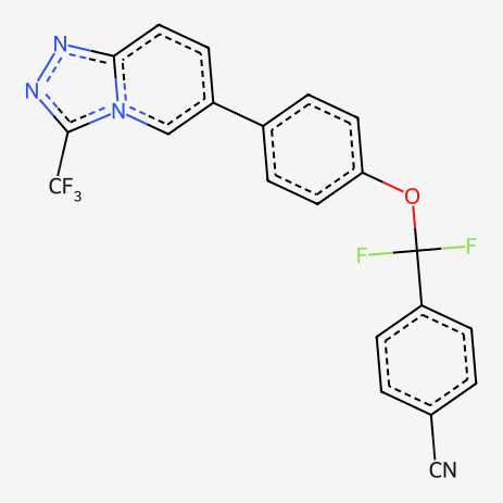 N#Cc1ccc(C(F)(F)Oc2ccc(-c3ccc4nnc(C(F)(F)F)n4c3)cc2)cc1